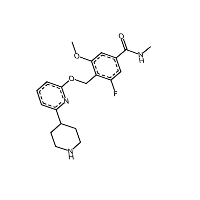 CNC(=O)c1cc(F)c(COc2cccc(C3CCNCC3)n2)c(OC)c1